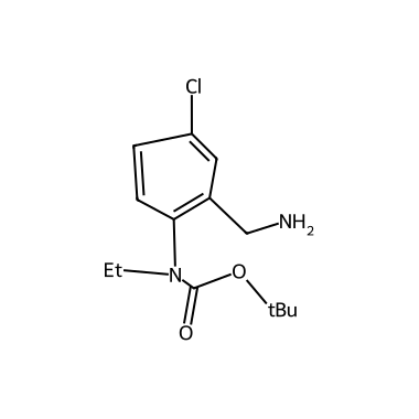 CCN(C(=O)OC(C)(C)C)c1ccc(Cl)cc1CN